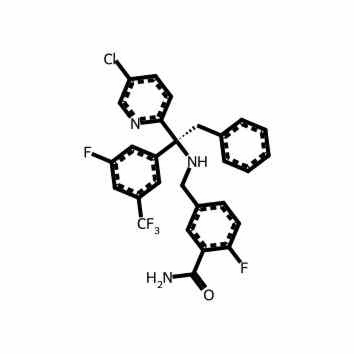 NC(=O)c1cc(CN[C@@](Cc2ccccc2)(c2cc(F)cc(C(F)(F)F)c2)c2ccc(Cl)cn2)ccc1F